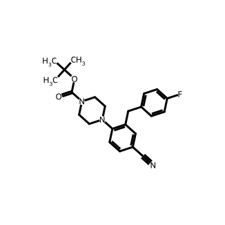 CC(C)(C)OC(=O)N1CCN(c2ccc(C#N)cc2Cc2ccc(F)cc2)CC1